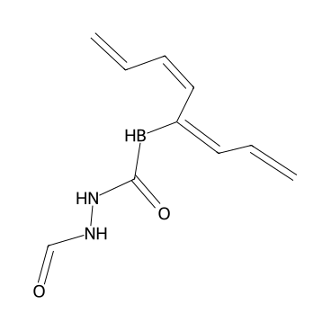 C=C/C=C\C(BC(=O)NNC=O)=C/C=C